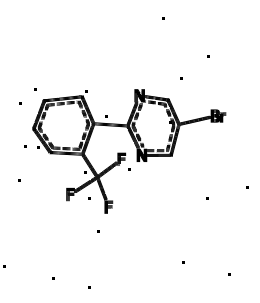 FC(F)(F)c1ccccc1-c1ncc(Br)cn1